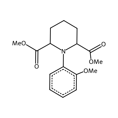 COC(=O)C1CCCC(C(=O)OC)N1c1ccccc1OC